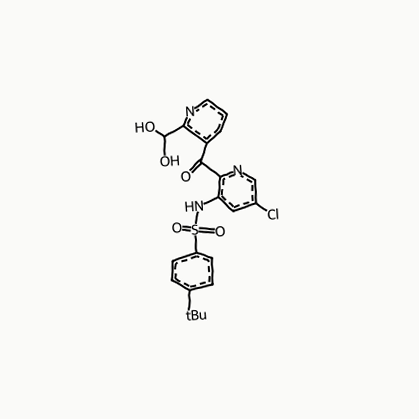 CC(C)(C)c1ccc(S(=O)(=O)Nc2cc(Cl)cnc2C(=O)c2cccnc2C(O)O)cc1